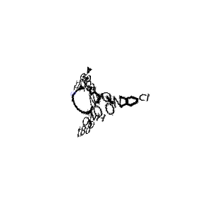 CC(C)(C)OC(=O)N[C@H]1CCCCC/C=C\[C@@H]2C[C@@]2(C(=O)NS(=O)(=O)C2CC2)NC(=O)[C@@H]2C[C@@H](OC(=O)N3Cc4ccc(Cl)cc4C3)CN2C1=O